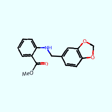 COC(=O)c1ccccc1NCc1ccc2c(c1)OCO2